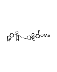 COc1ccc(S(=O)(=O)N2CCC(CCCCNC(=O)c3ccc4ccncc4c3)CC2)cc1F